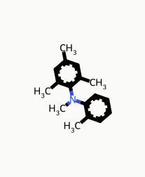 Cc1cc(C)c(N(C)c2ccccc2C)c(C)c1